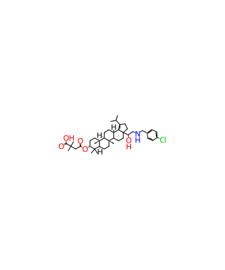 CC(C)C1=C2[C@H]3CC[C@@H]4[C@@]5(C)CC[C@H](OC(=O)CC(C)(C)C(=O)O)C(C)(C)[C@@H]5CC[C@@]4(C)[C@]3(C)CCC2(C(O)CNCc2ccc(Cl)cc2)CC1